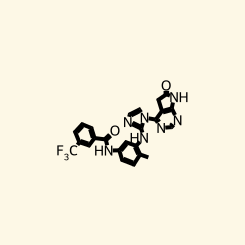 Cc1ccc(NC(=O)c2cccc(C(F)(F)F)c2)cc1Nc1nccn1-c1ncnc2c1CC(=O)N2